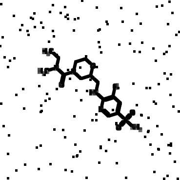 CCN(C)C(=O)N1CCOC(CNc2ncc(S(N)(=O)=O)cc2Cl)C1